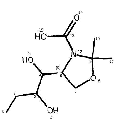 CCC(O)C(O)[C@@H]1COC(C)(C)N1C(=O)O